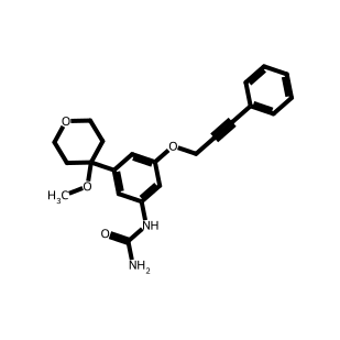 COC1(c2cc(NC(N)=O)cc(OCC#Cc3ccccc3)c2)CCOCC1